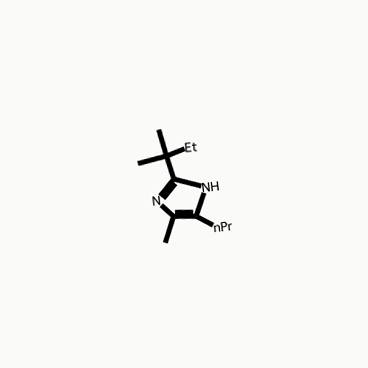 CCCc1[nH]c(C(C)(C)CC)nc1C